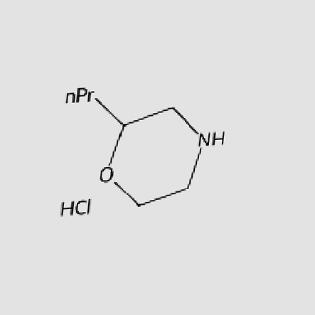 CCCC1CNCCO1.Cl